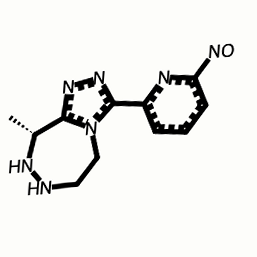 C[C@H]1NNCCn2c(-c3cccc(N=O)n3)nnc21